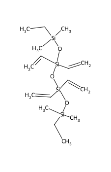 C=C[Si](C=C)(O[Si](C)(C)CC)O[Si](C=C)(C=C)O[Si](C)(C)CC